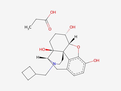 CCC(=O)O.Oc1ccc2c3c1O[C@H]1[C@@H](O)CC[C@@]4(O)[C@@H](C2)N(CC2CCC2)CC[C@]314